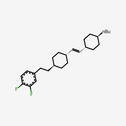 CCCC[C@H]1CC[C@H](C=C[C@H]2CC[C@H](CCc3ccc(F)c(F)c3)CC2)CC1